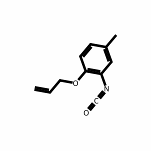 C=CCOc1ccc(C)cc1N=C=O